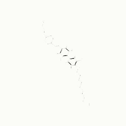 CCCCCCCCCCOc1c(F)c(F)c(-c2c(F)c(F)c(CCC3CCC(CCCCC)CC3)c(F)c2F)c(F)c1F